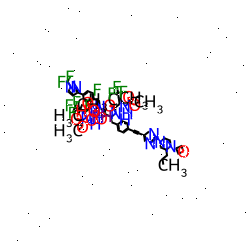 CCCC1CN(c2ncc(C#Cc3ccc(C[C@H](NC(=O)C(NC(=O)OC)C(C)(C)C(F)(F)F)[C@H](CN(Cc4c(F)cc(-c5ccn(C(F)F)n5)cc4F)NC(=O)[C@@H](NC(=O)OC)C(C)(C)C(F)(F)F)O[PH](=O)O)cc3)cn2)CCN1C1COC1